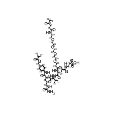 CC(C)C(=O)CCC(=O)NCCOCCOCCOCCOCCC(=O)N[C@H](CCC(=O)NCCS(=O)(=O)O)C(=O)N[C@H](C(=O)N[C@@H](CCCNC(N)=O)C(=O)Nc1ccc(COC(=O)C(C)C)cc1)C(C)C